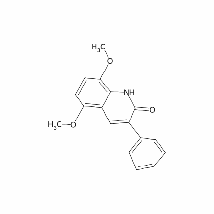 COc1ccc(OC)c2[nH]c(=O)c(-c3ccccc3)cc12